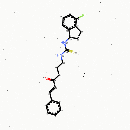 O=C(/C=C/c1ccccc1)CCCNC(=S)NC1CCc2c(F)cccc21